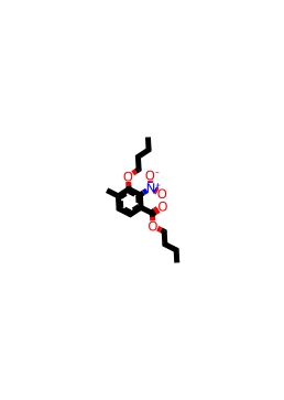 CCCCOC(=O)c1ccc(C)c(OCCCC)c1[N+](=O)[O-]